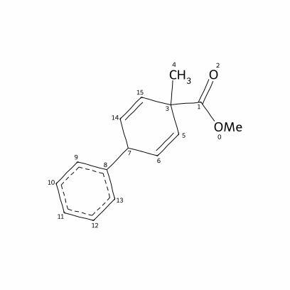 COC(=O)C1(C)C=CC(c2ccccc2)C=C1